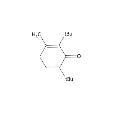 CC1=C(C(C)(C)C)C(=O)C(C(C)(C)C)=CC1